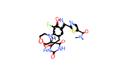 C[C@@H]1OCCN2c3c(cc4c(-c5ncc(C(=O)N(C)C)s5)noc4c3F)CC3(C(=O)NC(=O)NC3=O)[C@@H]12